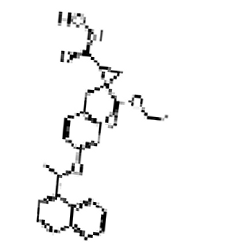 CCOC(=O)[C@@]1(Cc2ccc(OC(C)c3cccc4ccccc34)cc2)C[C@@H]1C(=O)NO